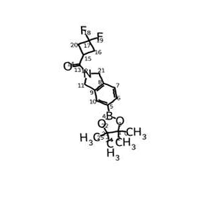 CC1(C)OB(c2ccc3c(c2)CN(C(=O)C2CC(F)(F)C2)C3)OC1(C)C